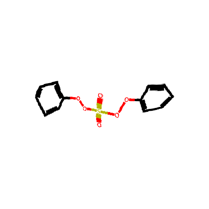 O=S(=O)(OOc1ccccc1)OOc1ccccc1